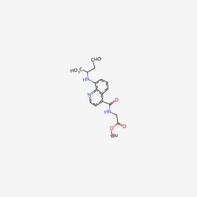 CC(C)(C)OC(=O)CNC(=O)c1ccnc2c(NC(CC=O)C(=O)O)cccc12